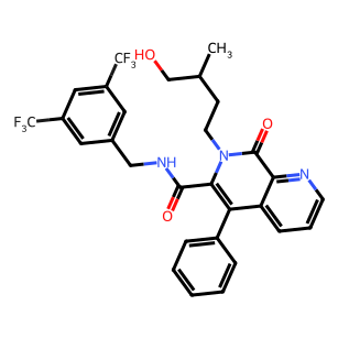 CC(CO)CCn1c(C(=O)NCc2cc(C(F)(F)F)cc(C(F)(F)F)c2)c(-c2ccccc2)c2cccnc2c1=O